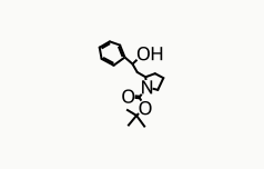 CC(C)(C)OC(=O)N1CCCC1CC(O)c1ccccc1